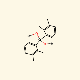 CCO[Si](OCC)(c1cccc(C)c1C)c1cccc(C)c1C